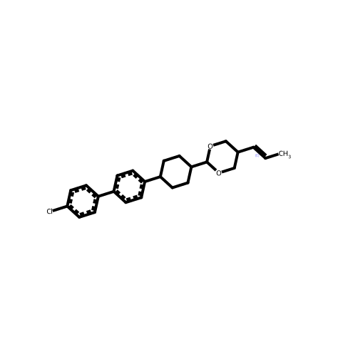 C/C=C/C1COC(C2CCC(c3ccc(-c4ccc(Cl)cc4)cc3)CC2)OC1